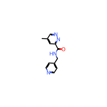 Cc1cnnc(C(=O)NCc2ccncc2)c1